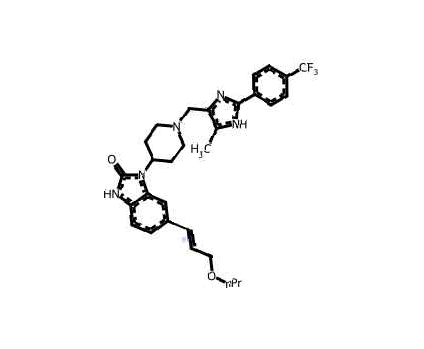 CCCOC/C=C/c1ccc2[nH]c(=O)n(C3CCN(Cc4nc(-c5ccc(C(F)(F)F)cc5)[nH]c4C)CC3)c2c1